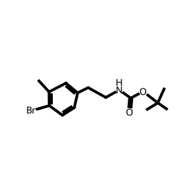 Cc1cc(CCNC(=O)OC(C)(C)C)ccc1Br